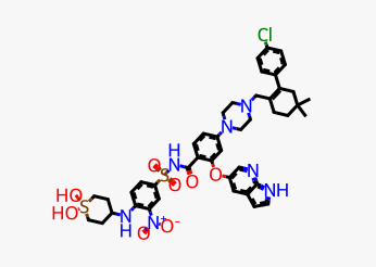 CC1(C)CCC(CN2CCN(c3ccc(C(=O)NS(=O)(=O)c4ccc(NC5CCS(O)(O)CC5)c([N+](=O)[O-])c4)c(Oc4cnc5[nH]ccc5c4)c3)CC2)=C(c2ccc(Cl)cc2)C1